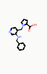 O=C(O)c1cccn1Cc1ccncc1NCc1ccccc1